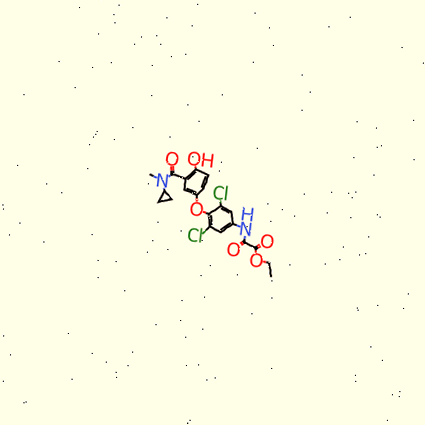 CCOC(=O)C(=O)Nc1cc(Cl)c(Oc2ccc(O)c(C(=O)N(C)C3CC3)c2)c(Cl)c1